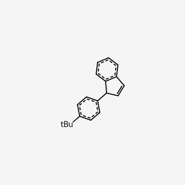 CC(C)(C)c1ccc(C2C=Cc3ccccc32)cc1